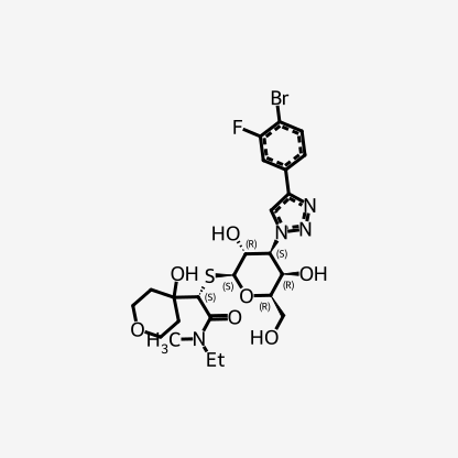 CCN(C)C(=O)[C@@H](S[C@@H]1O[C@H](CO)[C@H](O)[C@H](n2cc(-c3ccc(Br)c(F)c3)nn2)[C@H]1O)C1(O)CCOCC1